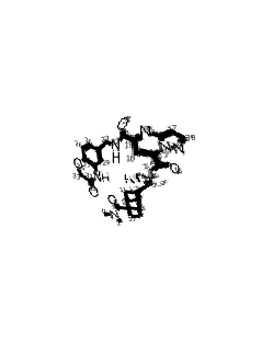 CN(C)C(=O)C12C3C4C1C1C2C3C41CNC(=O)c1cc(C(=O)NCc2ccc3c(c2)NC(=O)CO3)nc2ccnn12